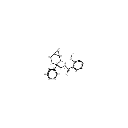 COc1ccccc1C(=O)NCC1(c2ccccc2)CCC2OC2C1